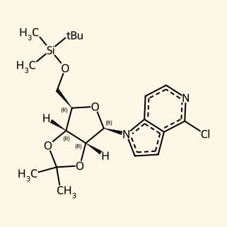 CC1(C)O[C@@H]2[C@H](O1)[C@@H](CO[Si](C)(C)C(C)(C)C)O[C@H]2n1ccc2c(Cl)nccc21